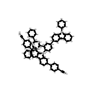 N#Cc1ccc(-c2ccc3c4ccc(-c5ccc(C#N)cc5)cc4n(-c4ccc(-c5ccc6c(c5)c5ccccc5n6-c5ccccc5)cc4-c4nc(-c5ccccc5)nc(-c5ccccc5)n4)c3c2)cc1